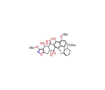 CCCCOc1noc2c1[C@@H](O)[C@@]1(O)C(=O)c3c(c4c5c(c(OC)cc(OCCCC)c5c3O)[C@]3(C4)C(C)=CCCC3C)C(=O)[C@@]1(O)C2